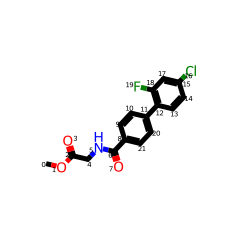 COC(=O)CNC(=O)c1ccc(-c2ccc(Cl)cc2F)cc1